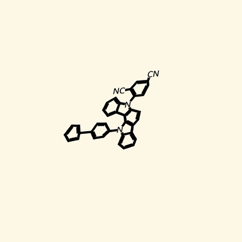 N#Cc1ccc(-n2c3ccccc3c3c2ccc2c4ccccc4n(-c4ccc(-c5ccccc5)cc4)c23)c(C#N)c1